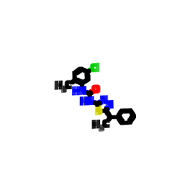 Cc1ccc(Cl)cc1NC(=O)Nc1nnc(C(C)c2ccccc2)s1